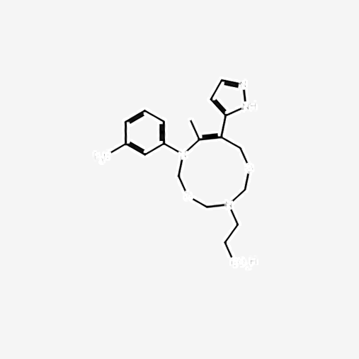 C/C1=C(\c2ccn[nH]2)COCN(CCC(=O)O)COCN1c1cccc(C(F)(F)F)c1